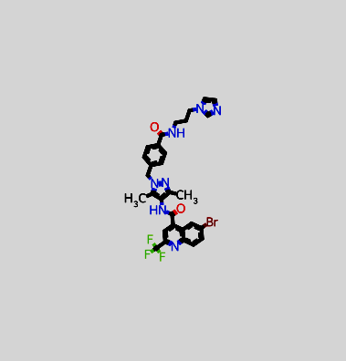 Cc1nn(Cc2ccc(C(=O)NCCCn3ccnc3)cc2)c(C)c1NC(=O)c1cc(C(F)(F)F)nc2ccc(Br)cc12